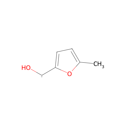 Cc1ccc([CH]O)o1